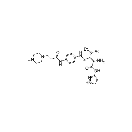 CCN(C(C)=O)/C(SNc1ccc(NC(=O)CCN2CCN(C)CC2)cc1)=C(\N)C(=O)Nc1cc[nH]n1